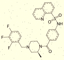 C[C@H]1CN(Cc2ccc(F)c(F)c2F)CCN1C(=O)c1ccc(NS(=O)(=O)c2cccc3cccnc23)cc1